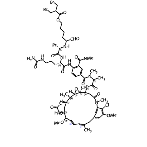 CNC(=O)c1cc(C(=O)N(C)[C@@H](C)C(=O)O[C@H]2CC(=O)N(C)c3cc(cc(OC)c3Cl)C/C(C)=C/C=C/[C@@H](OC)[C@@]3(O)C[C@H](OC(=O)N3)[C@@H](C)[C@@H]3O[C@@]23C)ccc1NC(=O)[C@H](CCCNC(N)=O)NC(=O)[C@@H](NC(C=O)CCCCOC(=O)C(CBr)CBr)C(C)C